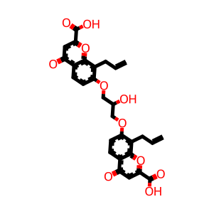 C=CCc1c(OCC(O)COc2ccc3c(=O)cc(C(=O)O)oc3c2CC=C)ccc2c(=O)cc(C(=O)O)oc12